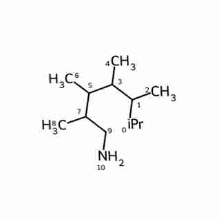 CC(C)C(C)C(C)C(C)C(C)CN